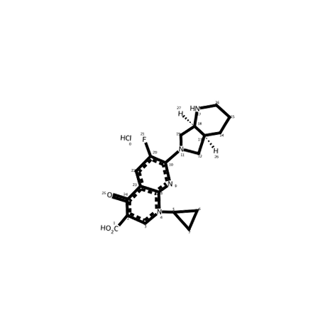 Cl.O=C(O)c1cn(C2CC2)c2nc(N3C[C@@H]4CCCN[C@@H]4C3)c(F)cc2c1=O